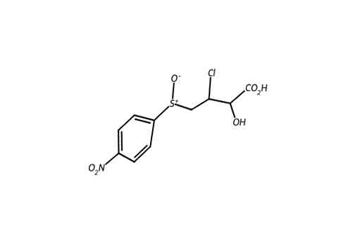 O=C(O)C(O)C(Cl)C[S+]([O-])c1ccc([N+](=O)[O-])cc1